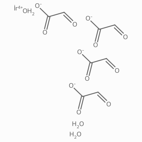 O.O.O.O=CC(=O)[O-].O=CC(=O)[O-].O=CC(=O)[O-].O=CC(=O)[O-].[Ir+4]